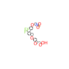 CS(=O)(=O)N1CCC(Oc2ccc(-c3c(C(F)(F)F)ccc4c3CC[C@H]4Oc3ccc4c(c3)OCC4CC(=O)O)cc2)C1